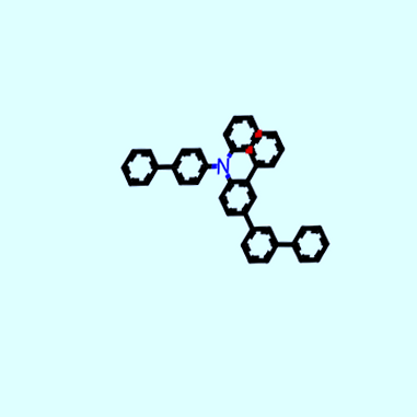 c1ccc(-c2ccc(N(c3ccccc3)c3ccc(-c4cccc(-c5ccccc5)c4)cc3-c3ccccc3)cc2)cc1